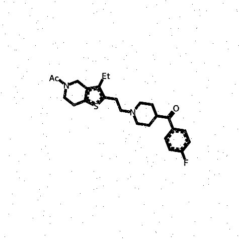 CCc1c(CCN2CCC(C(=O)c3ccc(F)cc3)CC2)sc2c1CN(C(C)=O)CC2